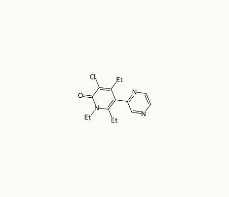 CCc1c(-c2cnccn2)c(CC)n(CC)c(=O)c1Cl